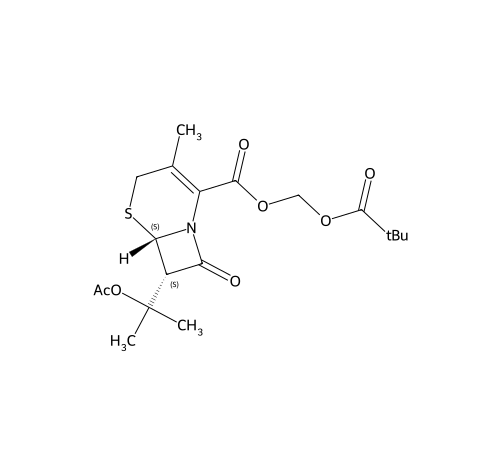 CC(=O)OC(C)(C)[C@H]1C(=O)N2C(C(=O)OCOC(=O)C(C)(C)C)=C(C)CS[C@@H]12